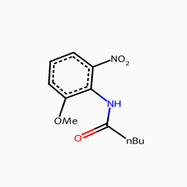 CCCCC(=O)Nc1c(OC)cccc1[N+](=O)[O-]